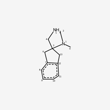 CN(C)C1(CN)Cc2ccccc2C1